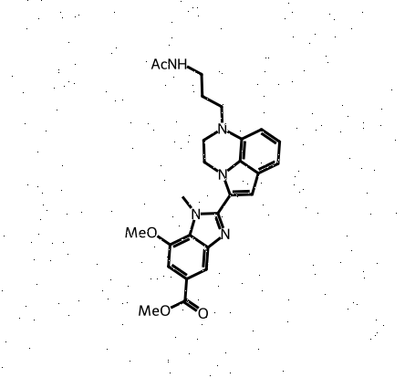 COC(=O)c1cc(OC)c2c(c1)nc(-c1cc3cccc4c3n1CCN4CCCNC(C)=O)n2C